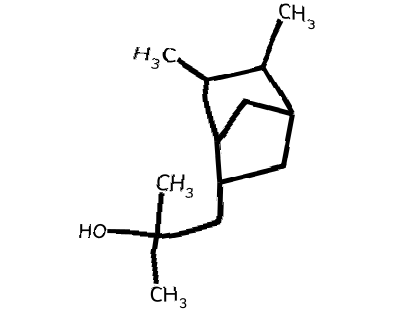 CC1C2CC(CC(C)(C)O)C(C2)C1C